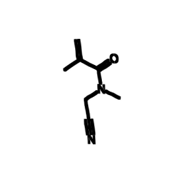 C=C(C)C(=O)N(C)CC#N